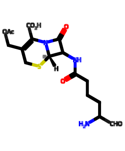 CC(=O)OCC1=C(C(=O)O)N2C(=O)C(NC(=O)CCCC(N)C=O)[C@@H]2SC1